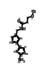 CCOCCC(=O)NCc1csc(-c2csc(N)n2)c1